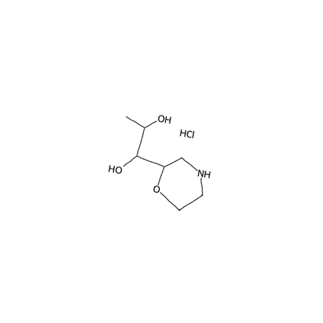 CC(O)C(O)C1CNCCO1.Cl